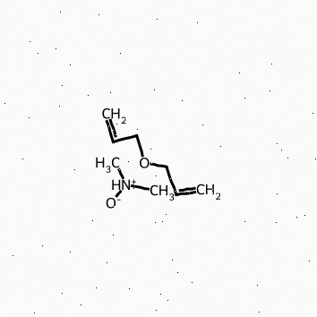 C=CCOCC=C.C[NH+](C)[O-]